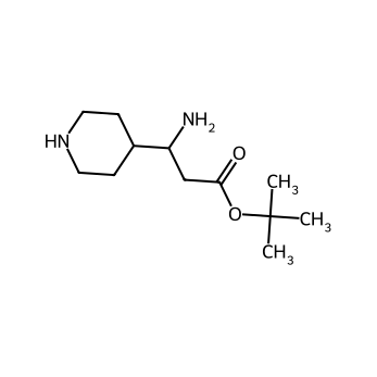 CC(C)(C)OC(=O)CC(N)C1CCNCC1